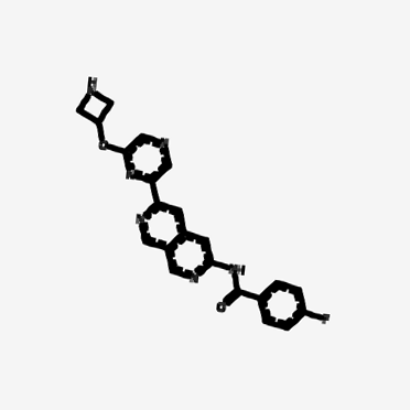 O=C(Nc1cc2cc(-c3cncc(OC4CNC4)n3)ncc2cn1)c1ccc(F)cc1